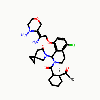 C[C@]1(C(=O)N=O)CCCCC1C(=O)N1CCc2c(Cl)ccc(OC/C(N)=C3\COCCN3N)c2C1N1CC2(CC2)CC1=O